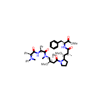 CC[C@H](C)[C@@H]([C@@H](CC(=O)N1CCCC1[C@H](OC)[C@@H](C)C(=O)N[C@@H](Cc1ccccc1)C(=O)OC)OC)N(C)C(=O)[C@@H](NC(=O)[C@H](C(C)C)N(C)C(C)C)C(C)C